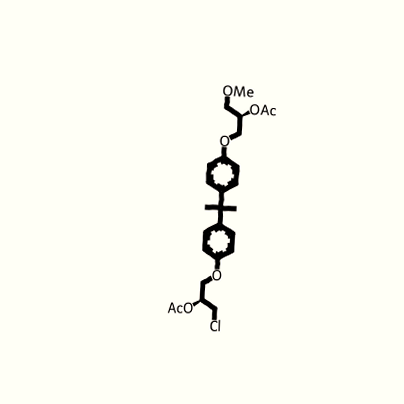 COC[C@H](COc1ccc(C(C)(C)c2ccc(OC[C@@H](CCl)OC(C)=O)cc2)cc1)OC(C)=O